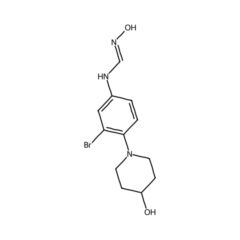 O/N=C/Nc1ccc(N2CCC(O)CC2)c(Br)c1